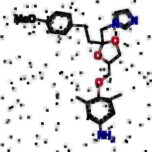 COc1ccc(CCC2(Cn3ccnc3)OCC(COc3c(C)cc(N)cc3C)O2)cc1